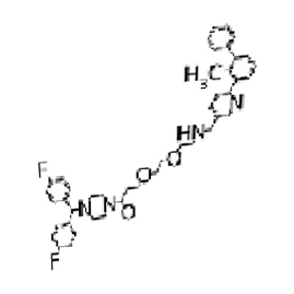 Cc1c(-c2ccccc2)cccc1-c1ccc(CNCCOCCOCCC(=O)N2CCN(C(c3ccc(F)cc3)c3ccc(F)cc3)CC2)cn1